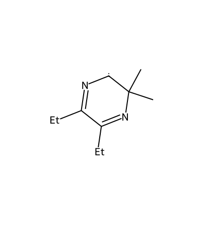 CCC1=N[CH]C(C)(C)N=C1CC